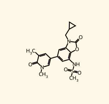 Cc1cc(-c2cc(NS(C)(=O)=O)c3oc(=O)n(CC4CC4)c3c2)cn(C)c1=O